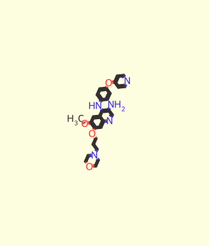 COc1cc2c(Nc3ccc(Oc4ccncc4)cc3)c(N)cnc2cc1OCCCN1CCOCC1